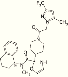 Cc1cc(C(F)(F)F)nn1CC(=O)N1CCC(C2(C(=O)N(C)[C@@H]3CCCc4ccccc43)NC=CO2)CC1